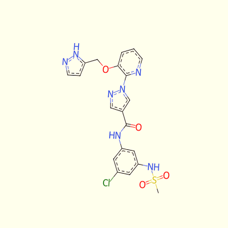 CS(=O)(=O)Nc1cc(Cl)cc(NC(=O)c2cnn(-c3ncccc3OCc3ccn[nH]3)c2)c1